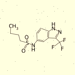 CCCCS(=O)(=O)Nc1ccc2[nH]nc(C(F)(F)F)c2c1